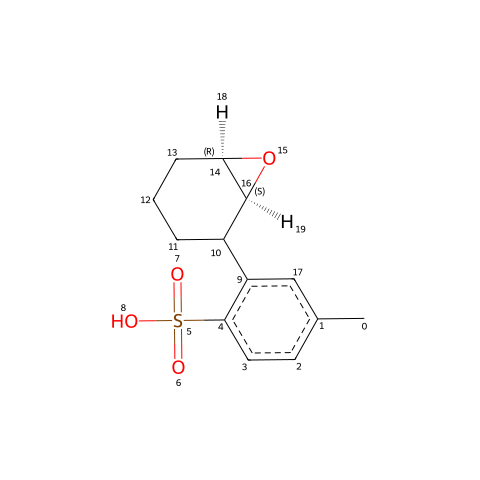 Cc1ccc(S(=O)(=O)O)c(C2CCC[C@H]3O[C@@H]23)c1